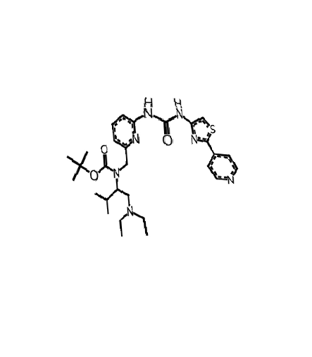 CCN(CC)CC(C(C)C)N(Cc1cccc(NC(=O)Nc2csc(-c3ccncc3)n2)n1)C(=O)OC(C)(C)C